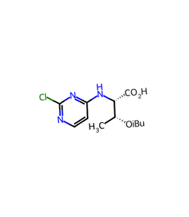 CC(C)CO[C@H](C)[C@H](Nc1ccnc(Cl)n1)C(=O)O